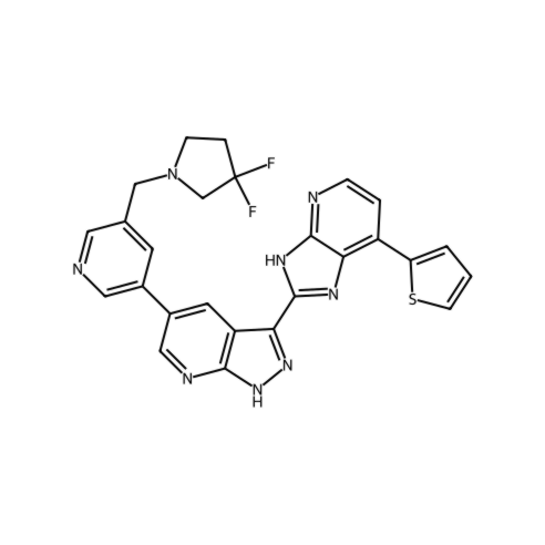 FC1(F)CCN(Cc2cncc(-c3cnc4[nH]nc(-c5nc6c(-c7cccs7)ccnc6[nH]5)c4c3)c2)C1